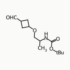 CC(COC1CC(C=O)C1)NC(=O)OC(C)(C)C